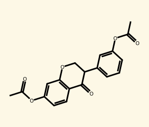 CC(=O)Oc1cccc(C2COc3cc(OC(C)=O)ccc3C2=O)c1